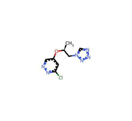 C[C@@H](Cn1cnnn1)Oc1cnnc(Cl)c1